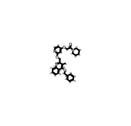 Cc1c(COc2cc(OCC(=O)N3CCCCC3)ccn2)nc2ccccc2c1OCc1ccccc1